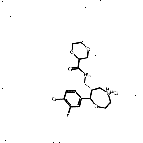 Cl.O=C(NC[C@@H]1CNCCO[C@H]1c1ccc(Cl)c(F)c1)C1COCCO1